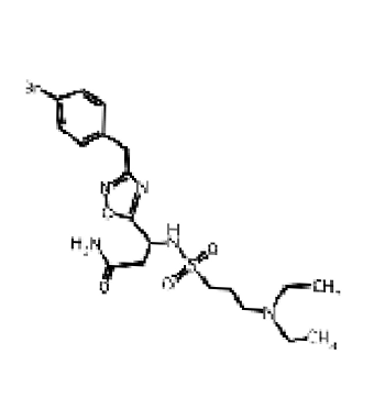 CCN(CC)CCCS(=O)(=O)NC(CC(N)=O)c1nc(Cc2ccc(Br)cc2)no1